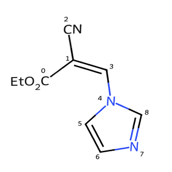 CCOC(=O)/C(C#N)=C\n1ccnc1